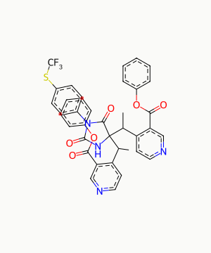 CC(c1ccncc1C(=O)Oc1ccccc1)C1(C(C)c2ccncc2C(=O)Oc2ccccc2)NC(=O)N(c2ccc(SC(F)(F)F)cc2)C1=O